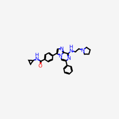 O=C(NC1CC1)c1ccc(-c2cnc3c(NCCN4CCCC4)nc(-c4ccccc4)cn23)cc1